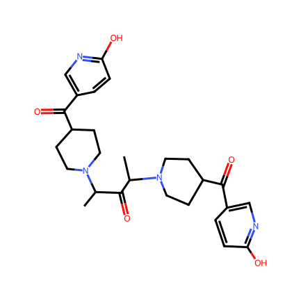 CC(C(=O)C(C)N1CCC(C(=O)c2ccc(O)nc2)CC1)N1CCC(C(=O)c2ccc(O)nc2)CC1